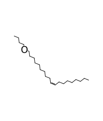 CCCCCCCC/C=C\CCCCCCCCCOCCCC